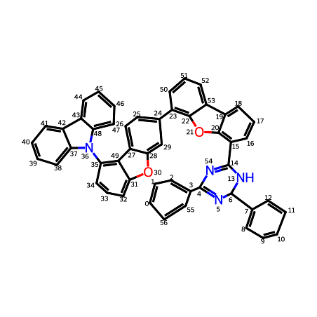 c1ccc(C2=NC(c3ccccc3)NC(c3cccc4c3oc3c(-c5ccc6c(c5)oc5cccc(-n7c8ccccc8c8ccccc87)c56)cccc34)=N2)cc1